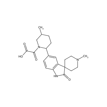 CC1CCC(c2ccc3c(c2)C2(CCN(C)CC2)C(=O)N3)N(C(=O)C(=O)O)C1